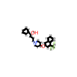 OC(CCCN1CCC(Oc2cc(C(F)(F)F)c3ccccc3c2)CC1)c1ccccc1